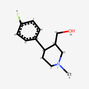 CCN1CCC(c2ccc(F)cc2)C(CO)C1